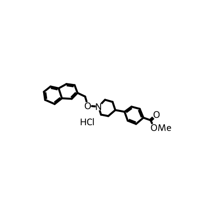 COC(=O)c1ccc(C2CCN(OCc3ccc4ccccc4c3)CC2)cc1.Cl